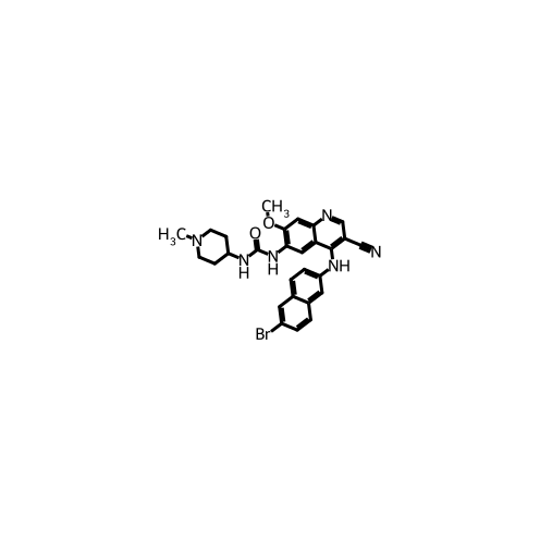 COc1cc2ncc(C#N)c(Nc3ccc4cc(Br)ccc4c3)c2cc1NC(=O)NC1CCN(C)CC1